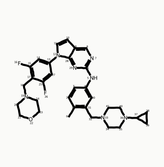 Cc1ccc(Nc2ncc3ccn(-c4cc(F)c(CN5CCOCC5)c(F)c4)c3n2)cc1CN1CCN(C2CC2)CC1